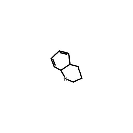 C1=CC2CCC[N]C2C=C1